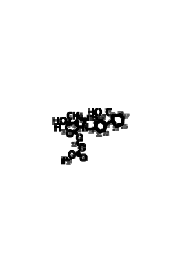 CCCCc1nc(C(C)(C)O)c(C(=O)OCOC(=O)OC(C)C)n1Cc1ccc(-c2ccccc2C(=O)O)cc1